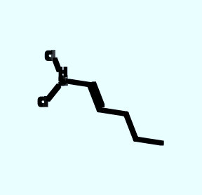 CCCC=C[SiH](Cl)Cl